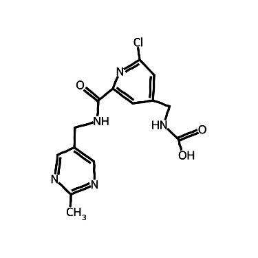 Cc1ncc(CNC(=O)c2cc(CNC(=O)O)cc(Cl)n2)cn1